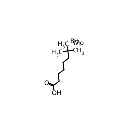 B.CC(C)(C)CCCCCC(=O)O.[Mo]